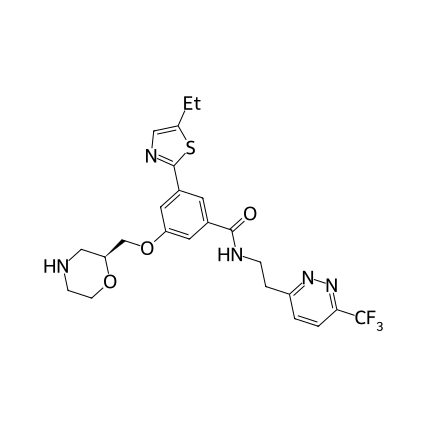 CCc1cnc(-c2cc(OC[C@@H]3CNCCO3)cc(C(=O)NCCc3ccc(C(F)(F)F)nn3)c2)s1